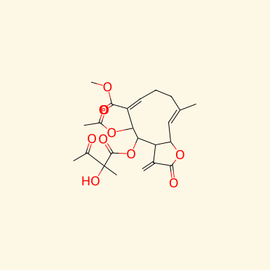 C=C1C(=O)OC2/C=C(\C)CC/C=C(/C(=O)OC)C(OC(C)=O)C(OC(=O)C(C)(O)C(C)=O)C12